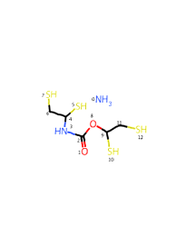 N.O=C(NC(S)CS)OC(S)CS